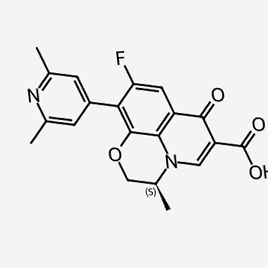 Cc1cc(-c2c(F)cc3c(=O)c(C(=O)O)cn4c3c2OC[C@@H]4C)cc(C)n1